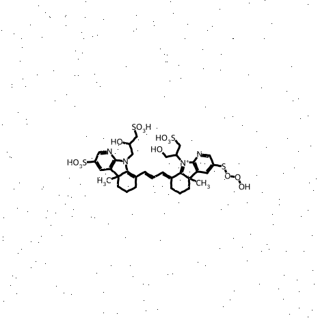 CC12CCCC(/C=C/C=C3\CCCC4(C)C3=[N+](C(CO)CS(=O)(=O)O)c3ncc(SOOO)cc34)=C1N(CC(O)CS(=O)(=O)O)c1ncc(S(=O)(=O)O)cc12